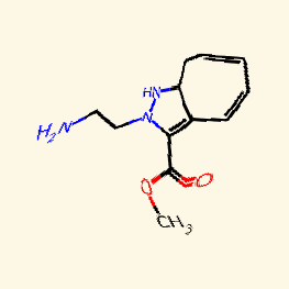 COC(=O)C1=C2C=CC=CC2NN1CCN